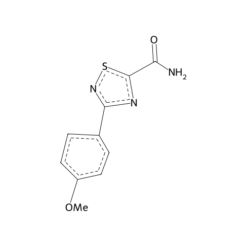 COc1ccc(-c2nsc(C(N)=O)n2)cc1